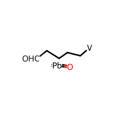 O=CCCC[CH2][V].[O]=[Pb]